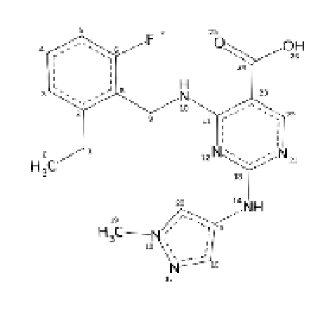 CCc1cccc(F)c1CNc1nc(Nc2cnn(C)c2)ncc1C(=O)O